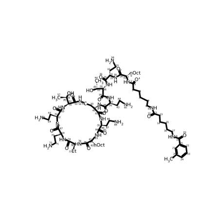 CCCCCCCC[C@H](NC(=O)CCCCCNC(=O)CCCCCNC(=O)c1cccc(C)c1)C(=O)N[C@@H](CCN)C(=O)N[C@H](C(=O)N[C@@H](CCN)C(=O)N[C@H]1CCNC(=O)[C@H]([C@@H](C)O)NC(=O)[C@H](CCN)NC(=O)[C@H](CCN)NC(=O)[C@H](CC)NC(=O)[C@@H](CCCCCCCC)NC(=O)[C@H](CCN)NC1=O)[C@@H](C)O